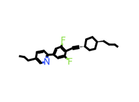 CCCC[C@H]1CC[C@H](C#Cc2c(F)cc(-c3ccc(CCC)cn3)cc2F)CC1